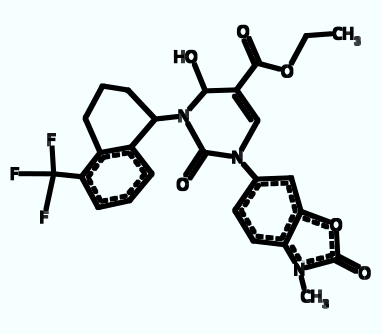 CCOC(=O)C1=CN(c2ccc3c(c2)oc(=O)n3C)C(=O)N(C2CCCc3c2cccc3C(F)(F)F)C1O